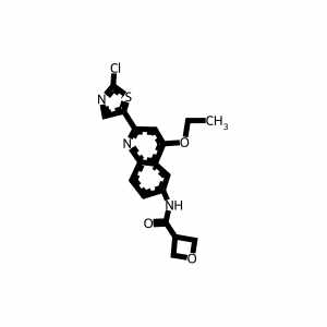 CCOc1cc(-c2cnc(Cl)s2)nc2ccc(NC(=O)C3COC3)cc12